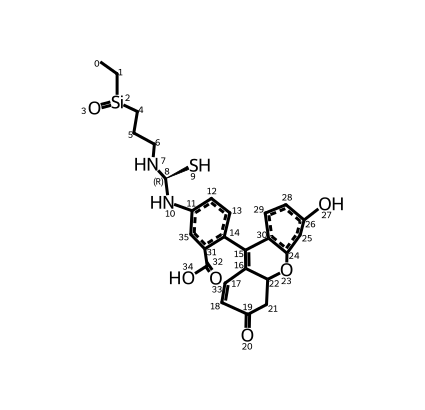 CC[Si](=O)CCCN[C@@H](S)Nc1ccc(C2=C3C=CC(=O)CC3Oc3cc(O)ccc32)c(C(=O)O)c1